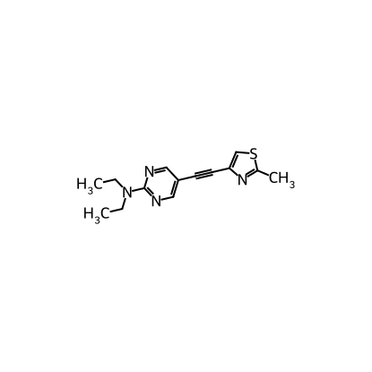 CCN(CC)c1ncc(C#Cc2csc(C)n2)cn1